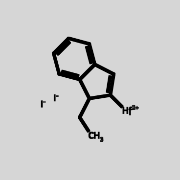 CCC1[C]([Hf+2])=Cc2ccccc21.[I-].[I-]